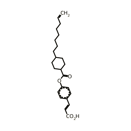 C=CCCCCCCC1CCC(C(=O)Oc2ccc(/C=C/C(=O)O)cc2)CC1